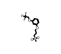 CS(=O)(=O)CCCOc1[c]c(OCC(F)(F)F)ccc1